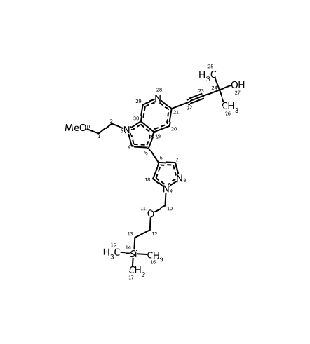 COCCn1cc(-c2cnn(COCC[Si](C)(C)C)c2)c2cc(C#CC(C)(C)O)ncc21